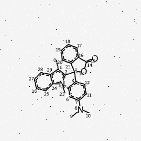 Cc1c(C2(c3ccc(N(C)C)cc3)OC(=O)c3ccccc32)n(C)c2ccccc12